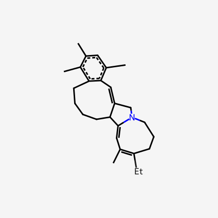 CC/C1=C(C)/C=C2/C3CCCCc4c(C)c(C)cc(C)c4/C=C\3CN2CCC1